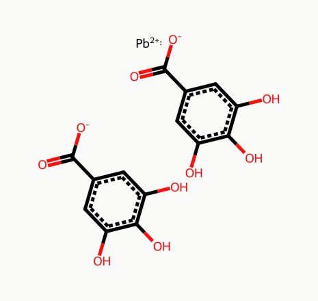 O=C([O-])c1cc(O)c(O)c(O)c1.O=C([O-])c1cc(O)c(O)c(O)c1.[Pb+2]